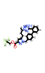 CCCCc1cc(C(=O)OCC(F)(F)F)nn1Cc1ccc(-c2ccccc2-c2nnn[nH]2)cc1